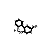 CCCCc1ccc(SS)c(-c2ccccc2)c1